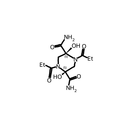 CCC(=O)N1C[C@](O)(C(N)=O)N(C(=O)CC)C[C@]1(O)C(N)=O